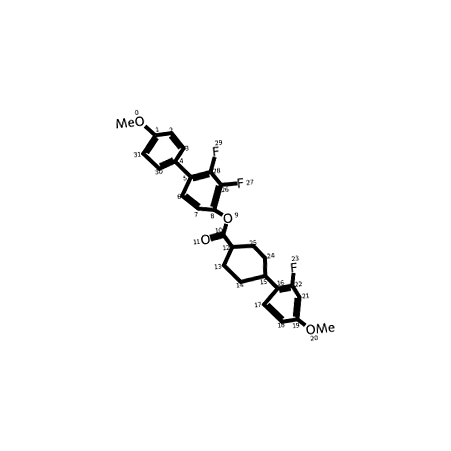 COc1ccc(-c2ccc(OC(=O)C3CCC(c4ccc(OC)cc4F)CC3)c(F)c2F)cc1